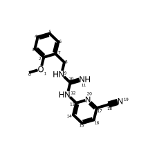 COc1ccccc1CNC(=N)Nc1cccc(C#N)n1